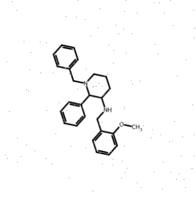 COc1ccccc1CNC1CCCN(Cc2ccccc2)C1c1ccccc1